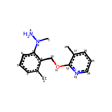 CCc1cccc(N(C)N)c1COc1ncccc1C